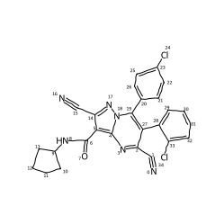 N#Cc1nc2c(C(=O)NC3CCCC3)c(C#N)nn2c(-c2ccc(Cl)cc2)c1-c1ccccc1Cl